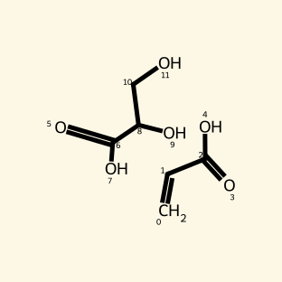 C=CC(=O)O.O=C(O)C(O)CO